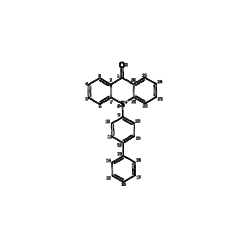 O=c1c2ccccc2[s+](-c2ccc(-c3ccccc3)cc2)c2ccccc12